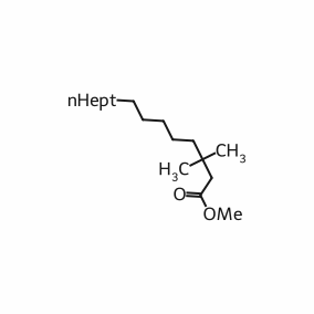 CCCCCCCCCCCCC(C)(C)CC(=O)OC